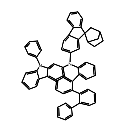 c1ccc(-c2ccccc2-c2ccccc2-c2ccccc2N(c2ccc3c(c2)C2(CC4CCC2C4)c2ccccc2-3)c2ccc3c4ccccc4n(-c4ccccc4)c3c2)cc1